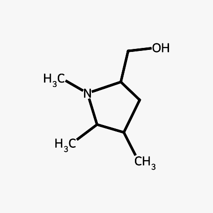 CC1CC(CO)N(C)C1C